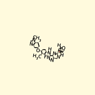 Cc1c(Oc2ccc3c(c2)ncn3C)ccc(Nc2ncnc3cnc(N4C[C@H]5C[C@@H]4CO5)nc23)c1F